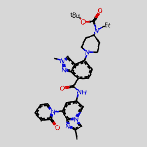 CCN(C(=O)OC(C)(C)C)C1CCN(c2ccc(C(=O)Nc3cc(-n4ccccc4=O)c4nc(C)cn4c3)c3nn(C)cc23)CC1